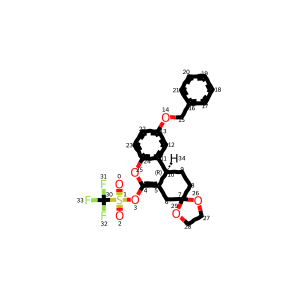 O=S(=O)(OC1=C2CC3(CC[C@@H]2c2cc(OCc4ccccc4)ccc2O1)OCCO3)C(F)(F)F